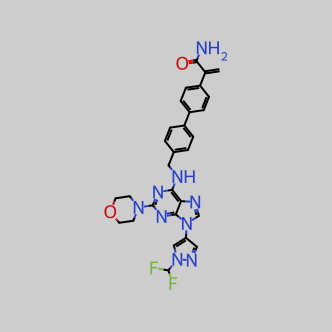 C=C(C(N)=O)c1ccc(-c2ccc(CNc3nc(N4CCOCC4)nc4c3ncn4-c3cnn(C(F)F)c3)cc2)cc1